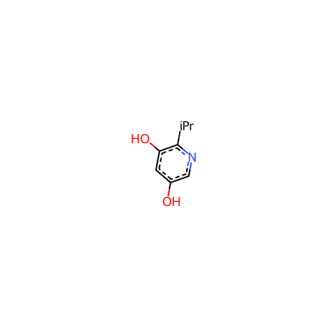 CC(C)c1ncc(O)cc1O